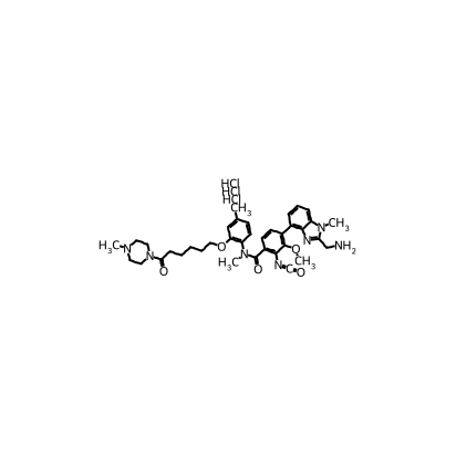 COc1c(-c2cccc3c2nc(CN)n3C)ccc(C(=O)N(C)c2ccc(C)cc2OCCCCCC(=O)N2CCN(C)CC2)c1N=C=O.Cl.Cl.Cl